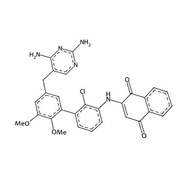 COc1cc(Cc2cnc(N)nc2N)cc(-c2cccc(NC3=CC(=O)c4ccccc4C3=O)c2Cl)c1OC